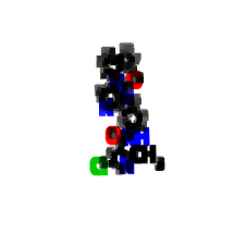 Cc1ncc(Cl)cc1C(=O)NC1CCC(Cn2c(=O)n(-c3cccc4c3CCC4)c3ccncc32)CC1